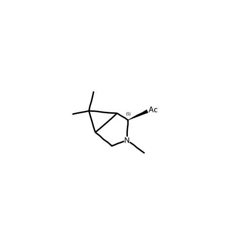 CC(=O)[C@@H]1C2C(CN1C)C2(C)C